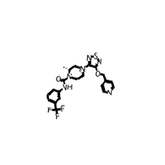 C[C@@H]1CN(c2nsnc2OCc2ccncc2)CCN1C(=O)Nc1cccc(C(F)(F)F)c1